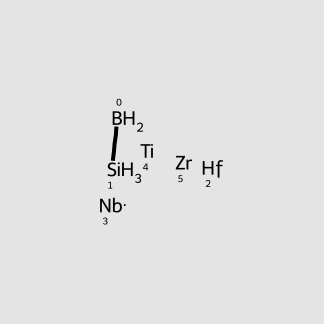 B[SiH3].[Hf].[Nb].[Ti].[Zr]